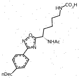 CCCCCCCCCCc1ccc(-c2noc([C@H](CCCCNC(=O)O)NC(C)=O)n2)cc1